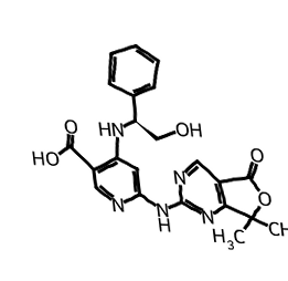 CC1(C)OC(=O)c2cnc(Nc3cc(N[C@H](CO)c4ccccc4)c(C(=O)O)cn3)nc21